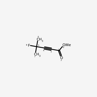 COC(=O)C#CC(C)(C)F